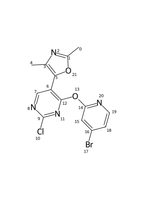 Cc1nc(C)c(-c2cnc(Cl)nc2Oc2cc(Br)ccn2)o1